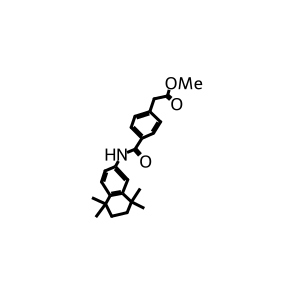 COC(=O)Cc1ccc(C(=O)Nc2ccc3c(c2)C(C)(C)CCC3(C)C)cc1